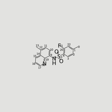 Cc1ccc(S(=O)(=O)Nc2ccc(C)c3cccnc23)c(F)c1